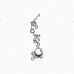 C=C1C(=O)O[C@H]2[C@H]1CC/C(COC(=O)/C=C\C(=O)NCc1ccc(CN3C(=C)N(CCCI)SC3=O)cc1)=C\CC[C@@]1(C)O[C@@H]21